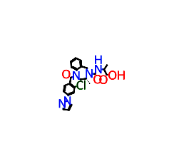 CC(NC(=O)N1Cc2ccccc2N(C(=O)c2ccc(-n3cccn3)cc2Cl)C[C@H]1C)C(=O)O